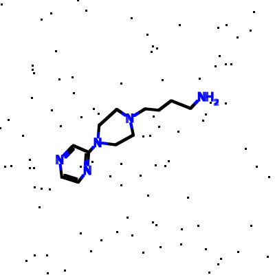 NCCCCN1CCN(c2cnccn2)CC1